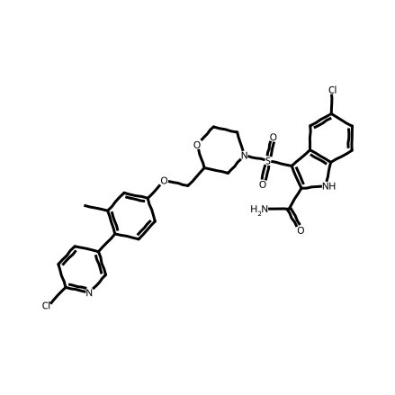 Cc1cc(OCC2CN(S(=O)(=O)c3c(C(N)=O)[nH]c4ccc(Cl)cc34)CCO2)ccc1-c1ccc(Cl)nc1